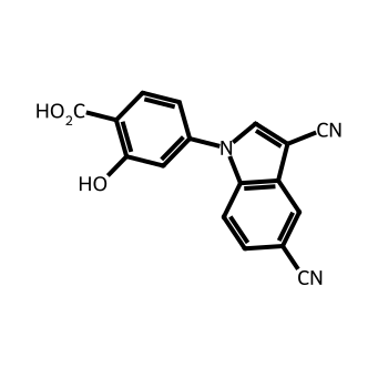 N#Cc1ccc2c(c1)c(C#N)cn2-c1ccc(C(=O)O)c(O)c1